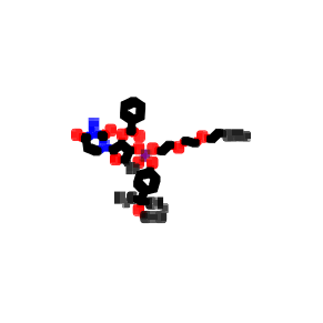 CC[C@H]1O[C@@H](n2ccc(=O)[nH]c2=O)C(OC(=O)c2ccccc2)C1OP(=O)(OCCOCCOCCOC)Oc1ccc(C(C)(C)OC=O)cc1